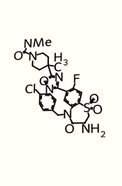 CNC(=O)N1CCC(C)(c2nc(-c3cc4c(cc3F)S(=O)(=O)C[C@H](N)C(=O)N4Cc3ccc(Cl)cc3)no2)CC1